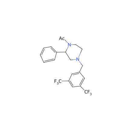 CC(=O)N1CCN(Cc2cc(C(F)(F)F)cc(C(F)(F)F)c2)CC1c1ccccc1